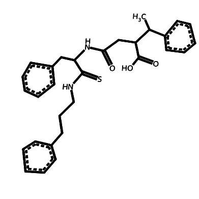 CC(c1ccccc1)C(CC(=O)NC(Cc1ccccc1)C(=S)NCCCc1ccccc1)C(=O)O